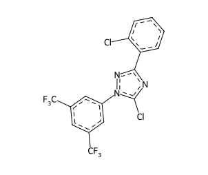 FC(F)(F)c1cc(-n2nc(-c3ccccc3Cl)nc2Cl)cc(C(F)(F)F)c1